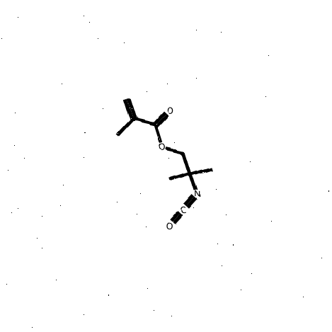 C=C(C)C(=O)OCC(C)(C)N=C=O